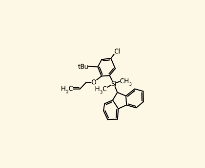 C=CCOc1c(C(C)(C)C)cc(Cl)cc1[Si](C)(C)C1c2ccccc2-c2ccccc21